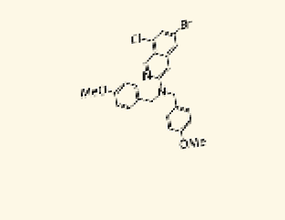 COc1ccc(CN(Cc2ccc(OC)cc2)c2cc3cc(Br)cc(Cl)c3cn2)cc1